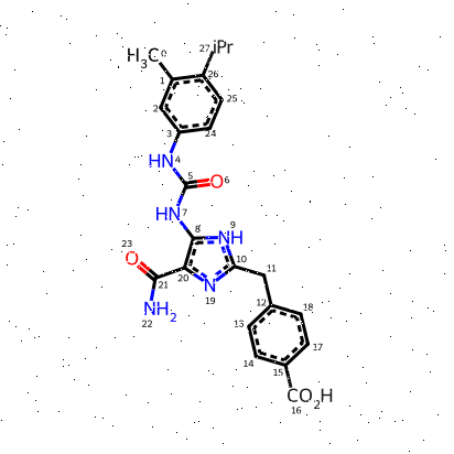 Cc1cc(NC(=O)Nc2[nH]c(Cc3ccc(C(=O)O)cc3)nc2C(N)=O)ccc1C(C)C